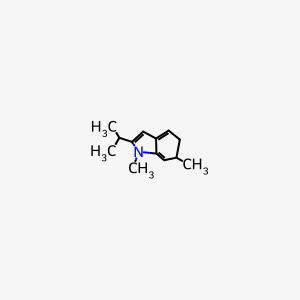 CC1C=c2c(cc(C(C)C)n2C)=CC1